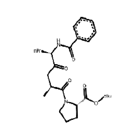 CCC[C@@H](NC(=O)c1ccccc1)C(=O)C[C@H](C)C(=O)N1CCC[C@H]1C(=O)OC(C)(C)C